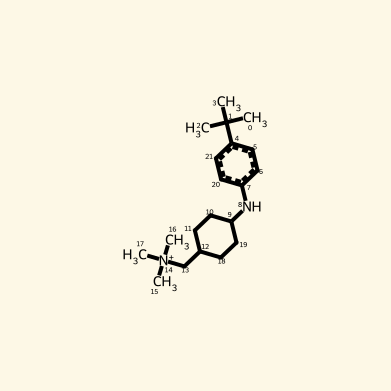 CC(C)(C)c1ccc(NC2CCC(C[N+](C)(C)C)CC2)cc1